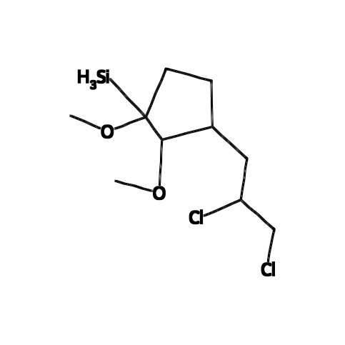 COC1C(CC(Cl)CCl)CCC1([SiH3])OC